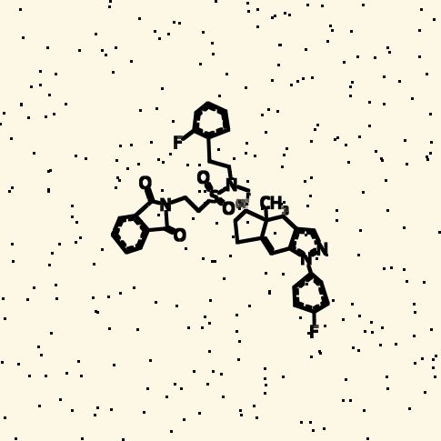 CC12Cc3cnn(-c4ccc(F)cc4)c3C=C1CC[C@@H]2CN(CCc1ccccc1F)S(=O)(=O)CCN1C(=O)c2ccccc2C1=O